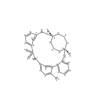 O=S1(=O)Nc2ccc(C(F)(F)F)c(n2)-c2cccnc2O[C@H]2CCC[C@H](CCC2)Oc2cccc1n2